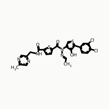 CC=NN(C(=O)c1ccc(C(=O)NCc2cnc(C)cn2)s1)c1csc(-c2ccc(Cl)c(Cl)c2)c1O